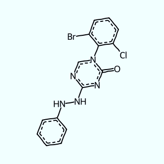 O=c1nc(NNc2ccccc2)ncn1-c1c(Cl)cccc1Br